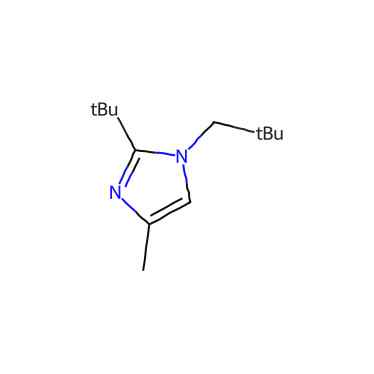 Cc1cn(CC(C)(C)C)c(C(C)(C)C)n1